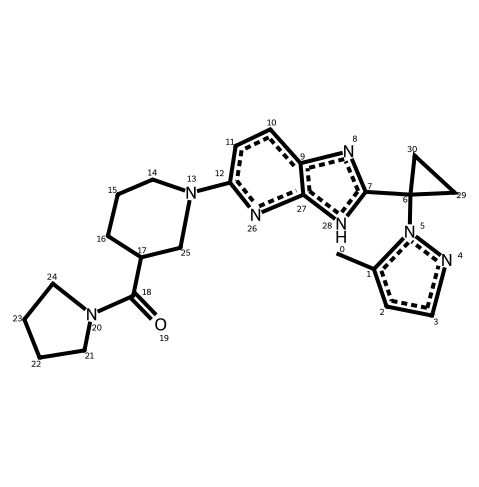 Cc1ccnn1C1(c2nc3ccc(N4CCCC(C(=O)N5CCCC5)C4)nc3[nH]2)CC1